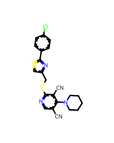 N#Cc1cnc(SCc2csc(-c3ccc(Cl)cc3)n2)c(C#N)c1N1CCCCC1